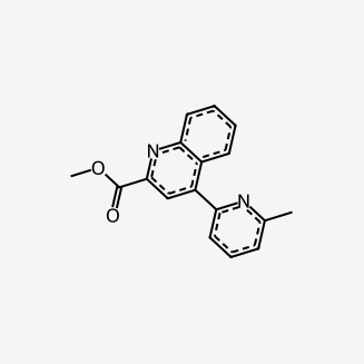 COC(=O)c1cc(-c2cccc(C)n2)c2ccccc2n1